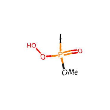 COP(C)(=O)OO